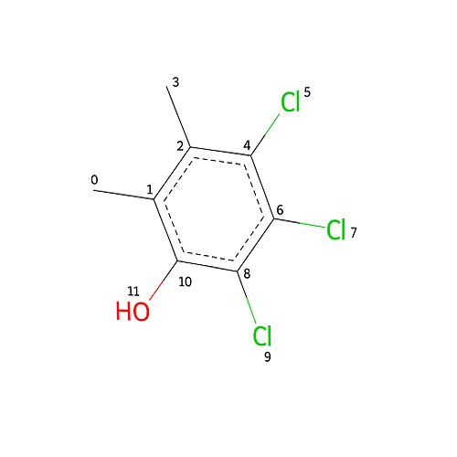 Cc1c(C)c(Cl)c(Cl)c(Cl)c1O